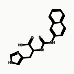 O=C(O)C(Cc1c[nH]cn1)NC(=S)Nc1ccc2ccccc2c1